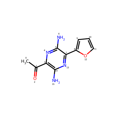 CC(=O)c1nc(N)c(-c2ccco2)nc1N